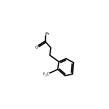 CC(C)C(=O)CCc1ccccc1C(F)(F)F